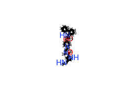 CNCc1c[nH]c(C(=O)N(C)CCN2CCC(OC(=O)Nc3ccccc3-c3ccccc3)CC2)c1